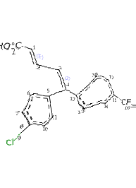 O=C(O)/C=C/C=C(\c1ccc(Cl)cc1)c1ccc(C(F)(F)F)cc1